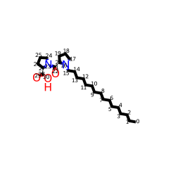 CCCCCCCCCCCCCCCCN1CCC[C@H]1C(=O)N1CCC[C@H]1C(=O)O